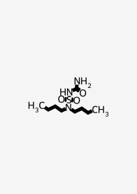 CCCCN(CCCC)S(=O)(=O)NC(N)=O